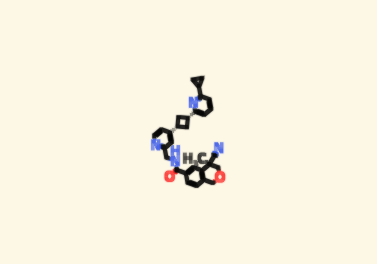 C[C@@]1(C#N)COCc2ccc(C(=O)NCc3cc([C@H]4C[C@@H](c5cccc(C6CC6)n5)C4)ccn3)cc21